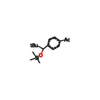 CC(=O)c1ccc(C(O[Si](C)(C)C)C(C)(C)C)cc1